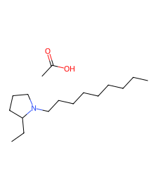 CC(=O)O.CCCCCCCCCN1CCCC1CC